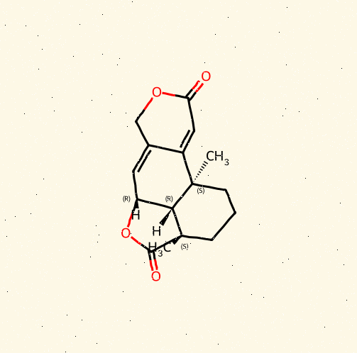 C[C@@]12CCC[C@]3(C)C4=CC(=O)OCC4=C[C@@H](OC1=O)[C@@H]23